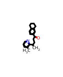 C=C(CCC(=O)c1ccc2c(c1)CCCC2)c1ncccc1C